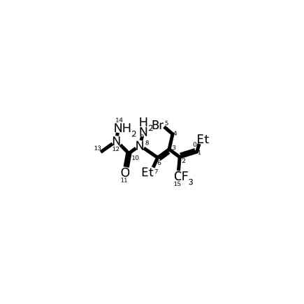 CC/C=C(\C(CBr)=C(/CC)N(N)C(=O)N(C)N)C(F)(F)F